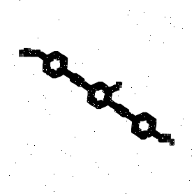 CCCCCCCCCc1ccc(C#Cc2ccc(C#Cc3ccc(C)cc3)c(F)c2)cc1